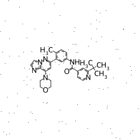 Cc1ccc(NC(=O)c2ccnc(C(C)(C)C)c2)cc1-c1cc(N2CCOCC2)c2nccn2n1